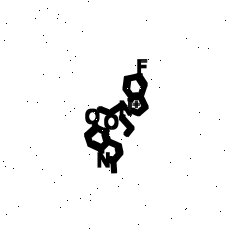 CCC[N+]1(CC2COc3ccc4nc(C)ccc4c3O2)CCc2cc(F)ccc21